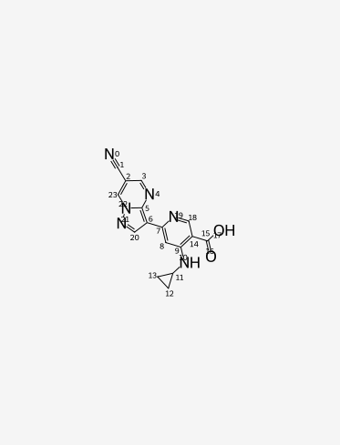 N#Cc1cnc2c(-c3cc(NC4CC4)c(C(=O)O)cn3)cnn2c1